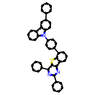 c1ccc(-c2ccc3c(c2)c2ccccc2n3-c2ccc(-c3cccc4c3sc3c(-c5ccccc5)nc(-c5ccccc5)nc34)cc2)cc1